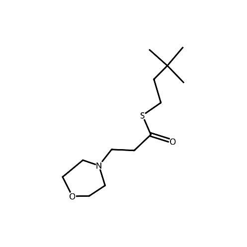 CC(C)(C)CCSC(=O)CCN1CCOCC1